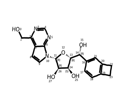 OCc1ncnc2c1ccn2[C@@H]1O[C@H]([C@H](O)c2ccc3c(c2)CC3)[C@@H](O)[C@H]1O